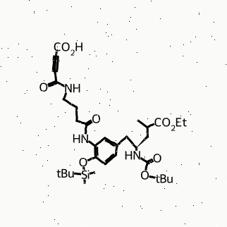 CCOC(=O)C(C)C[C@H](Cc1ccc(O[Si](C)(C)C(C)(C)C)c(NC(=O)CCCNC(=O)C#CC(=O)O)c1)NC(=O)OC(C)(C)C